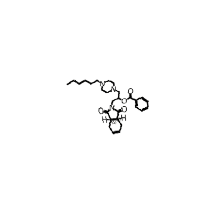 CCCCCCN1CCN(CC(CN2C(=O)[C@H]3CC=CC[C@H]3C2=O)OC(=O)c2ccccc2)CC1